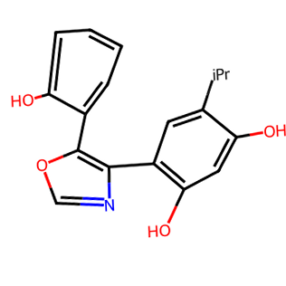 CC(C)c1cc(-c2ncoc2-c2ccccc2O)c(O)cc1O